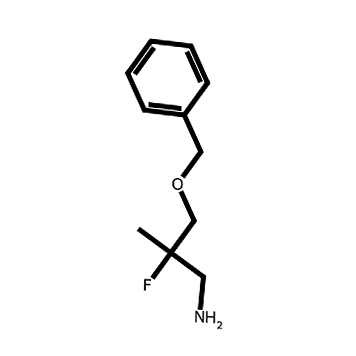 CC(F)(CN)COCc1ccccc1